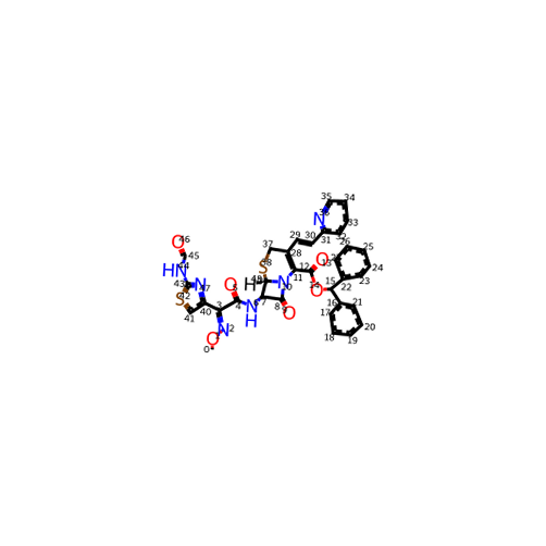 CON=C(C(=O)NC1C(=O)N2C(C(=O)OC(c3ccccc3)c3ccccc3)=C(C=Cc3ccccn3)CS[C@@H]12)c1csc(NC=O)n1